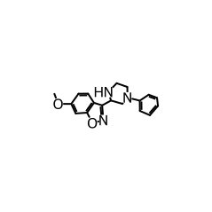 COc1ccc2c(C3CN(c4ccccc4)CCN3)noc2c1